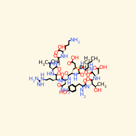 CC[C@H](C)[C@H](NC(=O)[C@H](CC(=O)O)NC(=O)[C@@H](NC(=O)[C@@H](N)Cc1ccc(O)cc1)[C@@H](C)O)C(=O)N[C@@H](CCC(=O)O)C(=O)N[C@@H](CCSC)C(=O)N[C@@H](CC(N)=O)C(=O)N[C@@H](CCCNC(=N)N)C(=O)N[C@@H](CC(C)C)C(=O)NCC(=O)N[C@@H](CCCCN)C(=O)O